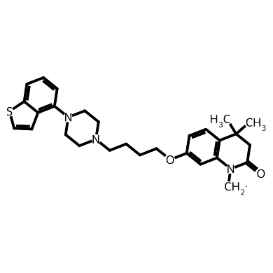 [CH2]N1C(=O)CC(C)(C)c2ccc(OCCCCN3CCN(c4cccc5sccc45)CC3)cc21